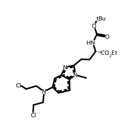 CCOC(=O)[C@H](CCc1nc2cc(N(CCCl)CCCl)ccc2n1C)NC(=O)OC(C)(C)C